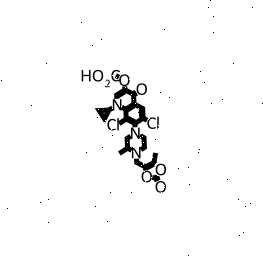 Cc1oc(=O)oc1CN1CCN(c2c(Cl)cc3c(=O)c(OC(=O)O)cn(C4CC4)c3c2Cl)CC1C